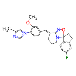 COc1cc(C=C2CCCN3C2=NOC32CCc3cc(F)ccc32)ccc1-n1cnc(C)c1